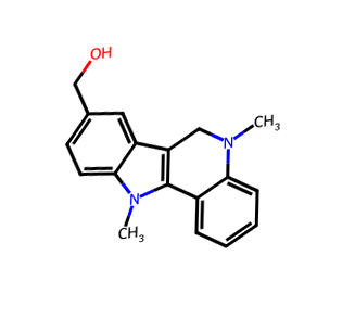 CN1Cc2c(n(C)c3ccc(CO)cc23)-c2ccccc21